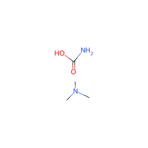 CN(C)C.NC(=O)O